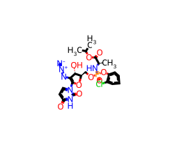 CC(C)OC(=O)[C@H](C)NP(=O)(OC[C@H]1OC(n2ccc(=O)[nH]c2=O)=C(N=[N+]=[N-])[C@@H]1O)Oc1ccccc1Cl